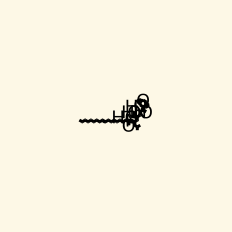 CCCCCCCCC=CCCCCCCCC(=O)NC(CC(C)C)CC(CNC(=O)C1OC(C)(C)OCC1(C)C)C(=O)O